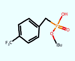 CCC(C)OP(=O)(O)Cc1ccc(C(F)(F)F)cc1